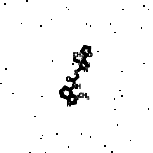 CCn1c(SCC(=O)Nc2cccc3ncn(C)c23)nnc1-c1ccco1